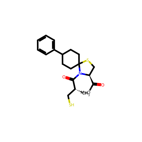 COC(=O)[C@@H]1CSC2(CCC(c3ccccc3)CC2)N1C(=O)[C@H](C)CS